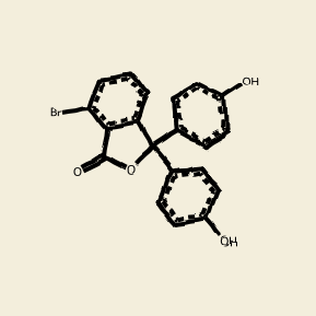 O=C1OC(c2ccc(O)cc2)(c2ccc(O)cc2)c2cccc(Br)c21